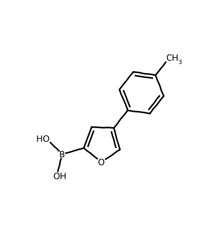 Cc1ccc(-c2coc(B(O)O)c2)cc1